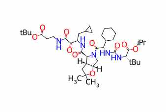 CC(C)OC(=O)[C@@H](NC(=O)N[C@H](C(=O)N1C[C@@H]2OC(C)(C)C[C@@H]2[C@H]1C(=O)NC(CC1CC1)C(=O)C(=O)NCCC(=O)OC(C)(C)C)C1CCCCC1)C(C)(C)C